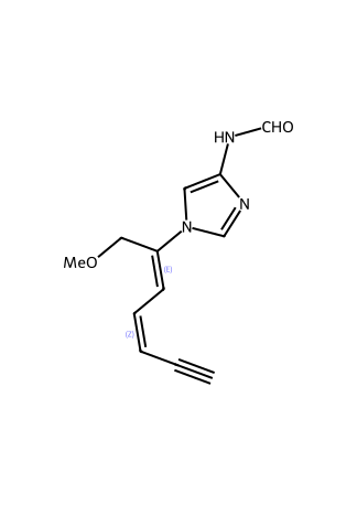 C#C/C=C\C=C(/COC)n1cnc(NC=O)c1